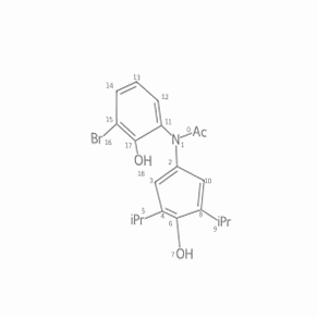 CC(=O)N(c1cc(C(C)C)c(O)c(C(C)C)c1)c1cccc(Br)c1O